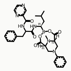 CC(C)C[C@H](NC(=O)C(Cc1ccccc1)NC(=O)c1cnccn1)B1OC(=O)[C@H]2CN(c3ccccc3)C[C@@H](C(=O)O1)N2C